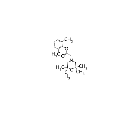 Cc1cccc(C)c1OC(=O)CN1CC(C)(C)OC(C)(C)C1